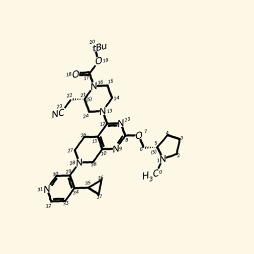 CN1CCC[C@H]1COc1nc2c(c(N3CCN(C(=O)OC(C)(C)C)[C@@H](CC#N)C3)n1)CCN(c1cnccc1C1CC1)C2